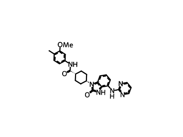 COc1cc(NC(=O)[C@H]2CC[C@@H](n3c(=O)[nH]c4c(Nc5ncccn5)cccc43)CC2)ccc1C